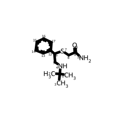 CC(C)(C)NCC(SCC(N)=O)c1ccccc1